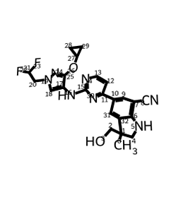 CC1(CO)CNc2c(C#N)cc(-c3ccnc(Nc4cn(CC(F)F)nc4OC4CC4)n3)cc21